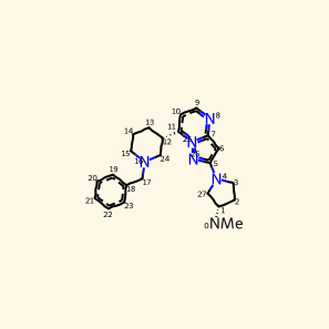 CN[C@H]1CCN(c2cc3nccc([C@H]4CCCN(Cc5ccccc5)C4)n3n2)C1